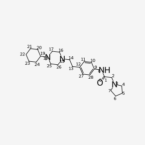 O=C(CN1CCCC1)Nc1ccc(CCN2CCN(C3CCCCC3)CC2)cc1